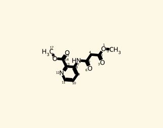 COC(=O)CC(=O)Nc1cccnc1C(=O)OC